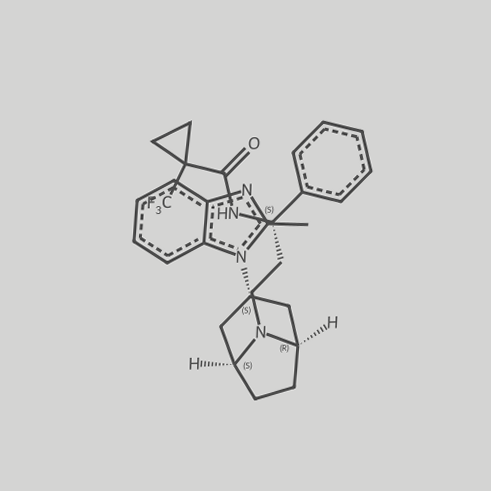 Cc1nc2ccccc2n1[C@@H]1C[C@H]2CC[C@@H](C1)N2CC[C@H](NC(=O)C1(C(F)(F)F)CC1)c1ccccc1